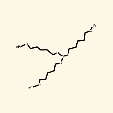 CCCOCCCCC[O][Y]([O]CCCCCOCCC)[O]CCCCCOCCC